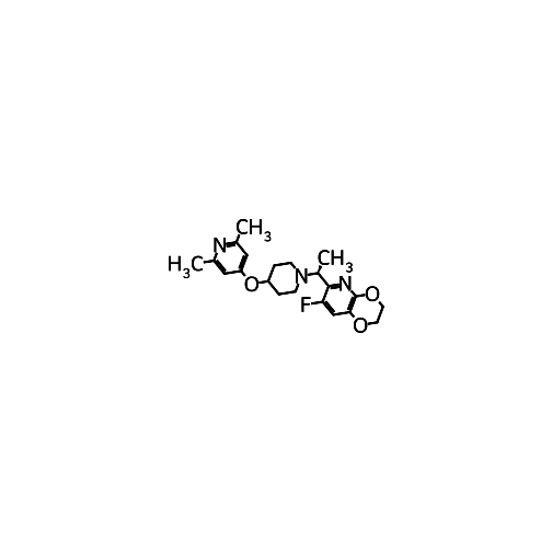 Cc1cc(OC2CCN([C@@H](C)c3nc4c(cc3F)OCCO4)CC2)cc(C)n1